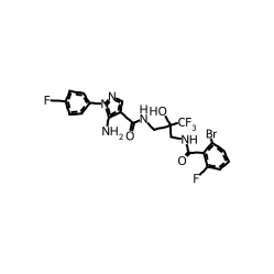 Nc1c(C(=O)NCC(O)(CNC(=O)c2c(F)cccc2Br)C(F)(F)F)cnn1-c1ccc(F)cc1